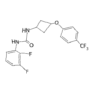 O=C(Nc1cccc(F)c1F)NC1CC(Oc2ccc(C(F)(F)F)cc2)C1